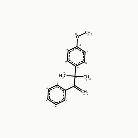 C=C(c1ccccc1)C(C)(C)c1ccc(OC)cc1